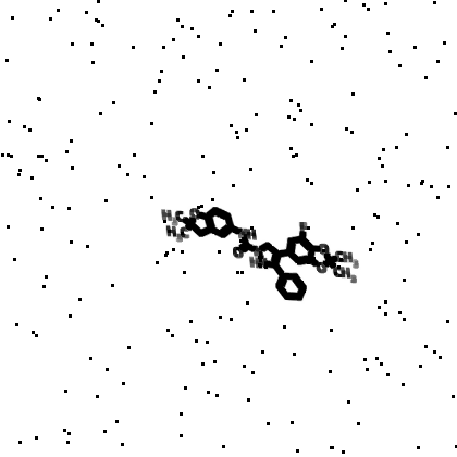 CC1(C)Cc2cc(NC(=O)N3CC(c4cc(F)c5c(c4)OC(C)(C)O5)=C(c4ccccc4)N3)ccc2O1